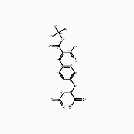 CC(=O)NC(Cc1ccc(/C=C(\C(C)=O)C(=O)OC(C)(C)C)cc1)C(=O)O